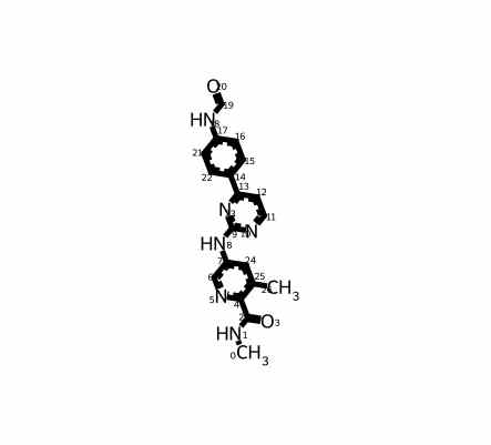 CNC(=O)c1ncc(Nc2nccc(-c3ccc(NC=O)cc3)n2)cc1C